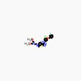 COCCN(CCOC)CCn1ncc2c1CCc1c-2sc2ncnc(Nc3ccc(OCc4cccc(F)c4)c(Cl)c3)c12